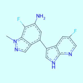 Cn1ncc2c(-c3c[nH]c4ncc(F)cc34)cc(N)c(F)c21